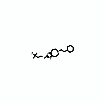 CC(C)(F)CCOc1nc2c(s1)CCN(CCC1CCCCC1)CC2